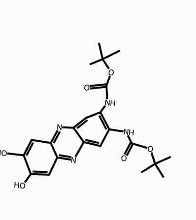 CC(C)(C)OC(=O)Nc1cc2nc3cc(O)c(O)cc3nc2cc1NC(=O)OC(C)(C)C